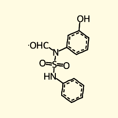 O=[C]N(c1cccc(O)c1)S(=O)(=O)Nc1ccccc1